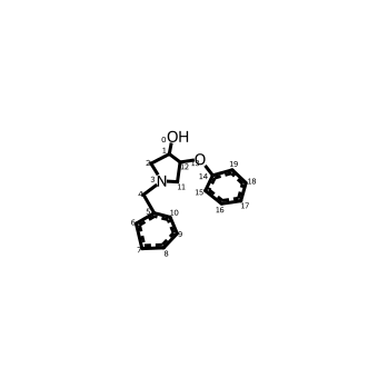 OC1CN(Cc2ccccc2)CC1Oc1ccccc1